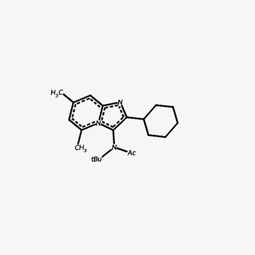 CC(=O)N(c1c(C2CCCCC2)nc2cc(C)cc(C)n12)C(C)(C)C